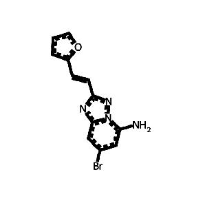 Nc1cc(Br)cc2nc(/C=C/c3ccco3)nn12